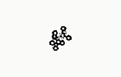 c1ccc(-c2nc(-n3c4c5ccccc5ccc4c4c5c(c6ccccc6c43)-c3ccccc3C53CCCCC3)nc3c2sc2ccccc23)cc1